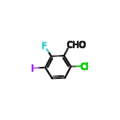 O=Cc1c(Cl)ccc(I)c1F